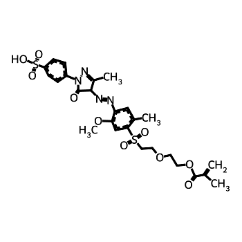 C=C(C)C(=O)OCCOCCS(=O)(=O)c1cc(OC)c(/N=N/C2C(=O)N(c3ccc(S(=O)(=O)O)cc3)N=C2C)cc1C